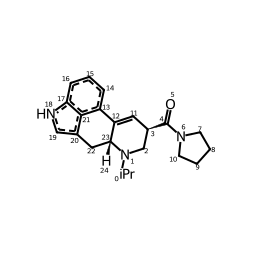 CC(C)N1C[C@H](C(=O)N2CCCC2)C=C2c3cccc4[nH]cc(c34)C[C@H]21